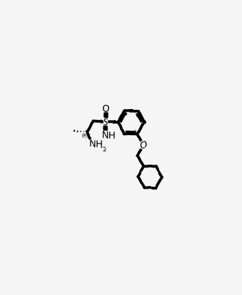 C[C@@H](N)CS(=N)(=O)c1cccc(OCC2CCCCC2)c1